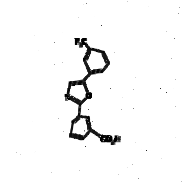 O=C(O)c1cccc(-c2ncc(-c3cccc(C(F)(F)F)c3)o2)c1